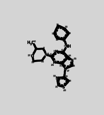 CC1CN(c2nc(Nc3cc[c]cc3)c3ncn(-c4cscn4)c3n2)CCO1